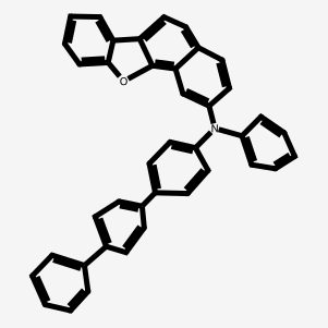 c1ccc(-c2ccc(-c3ccc(N(c4ccccc4)c4ccc5ccc6c7ccccc7oc6c5c4)cc3)cc2)cc1